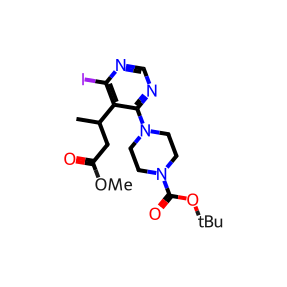 COC(=O)CC(C)c1c(I)ncnc1N1CCN(C(=O)OC(C)(C)C)CC1